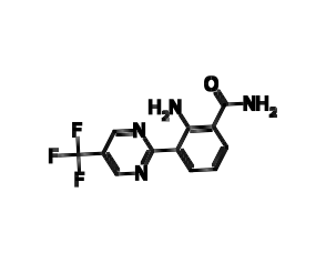 NC(=O)c1cccc(-c2ncc(C(F)(F)F)cn2)c1N